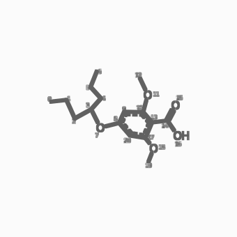 CCCC(CCC)Oc1cc(OC)c(C(=O)O)c(OC)c1